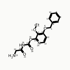 CCOc1c(OCc2ccccc2)ccnc1OC(=O)NC(=O)CN